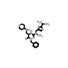 CC(C)c1nc(CN(C)C(=O)NC(CNC2CCOCC2)C(=O)OCc2ccccc2)cs1